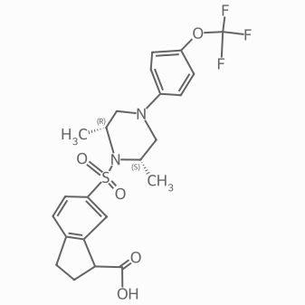 C[C@@H]1CN(c2ccc(OC(F)(F)F)cc2)C[C@H](C)N1S(=O)(=O)c1ccc2c(c1)C(C(=O)O)CC2